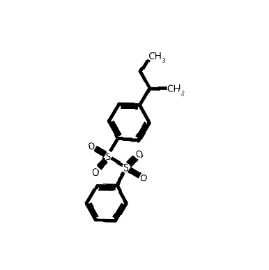 CCC(C)c1ccc(S(=O)(=O)S(=O)(=O)c2ccccc2)cc1